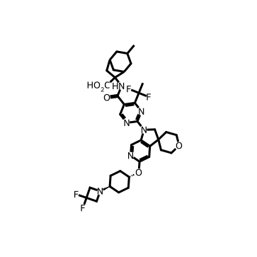 CC1CC2CC(C1)C(NC(=O)c1cnc(N3CC4(CCOCC4)c4cc(O[C@H]5CC[C@H](N6CC(F)(F)C6)CC5)ncc43)nc1C(C)(F)F)(C(=O)O)C2